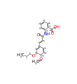 CCCOC1C=C(/C=C/C(=O)Nc2ccccc2C(=O)O)C=CC1OC